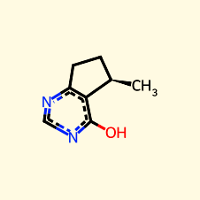 C[C@@H]1CCc2ncnc(O)c21